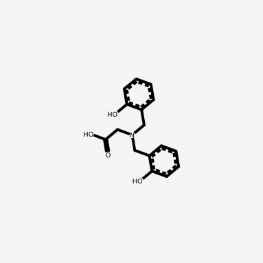 O=C(O)CN(Cc1ccccc1O)Cc1ccccc1O